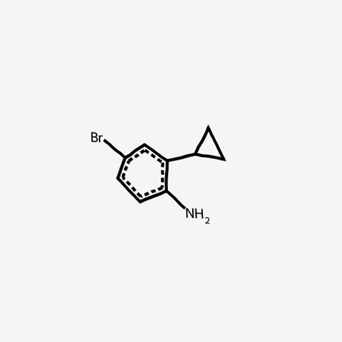 Nc1ccc(Br)cc1C1CC1